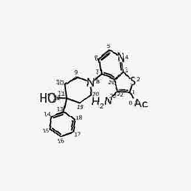 CC(=O)c1sc2nccc(N3CCC(O)(c4ccccc4)CC3)c2c1N